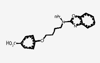 CCCN(CCCCOc1ccc(C(=O)O)cc1)c1nc2ccccc2o1